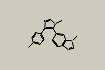 Cn1cnc(-c2ccc(F)cc2)c1-c1ccc2ncn(C)c2c1